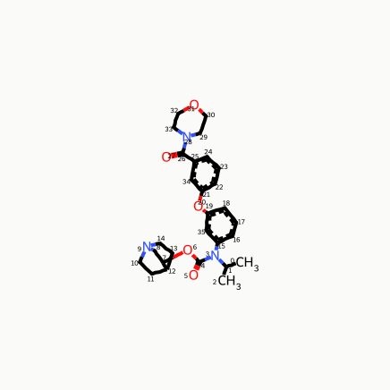 CC(C)N(C(=O)OC1CN2CCC1CC2)c1cccc(Oc2cccc(C(=O)N3CCOCC3)c2)c1